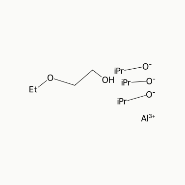 CC(C)[O-].CC(C)[O-].CC(C)[O-].CCOCCO.[Al+3]